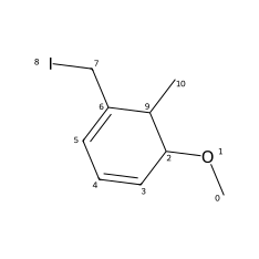 COC1C=CC=C(CI)C1C